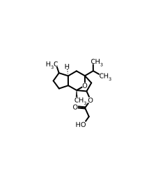 CC1CCC2[C@@H]1CC1(C(C)C)CC(OC(=O)CO)[C@@]2(C)O1